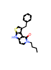 CCCCn1ccc2[nH]c3scc(Cc4ccccc4)c3c2c1=O